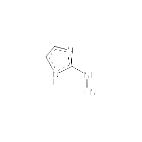 N#CNc1ncc[nH]1